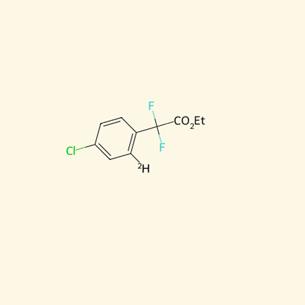 [2H]c1cc(Cl)ccc1C(F)(F)C(=O)OCC